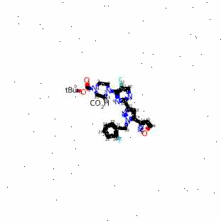 CC(C)(C)OC(=O)N1CCN(c2nc(-c3cc(-c4ccon4)n(Cc4ccccc4F)n3)ncc2F)C(C(=O)O)C1